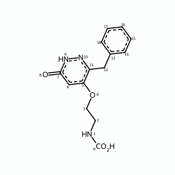 O=C(O)NCCOc1cc(=O)[nH]nc1Cc1ccccc1